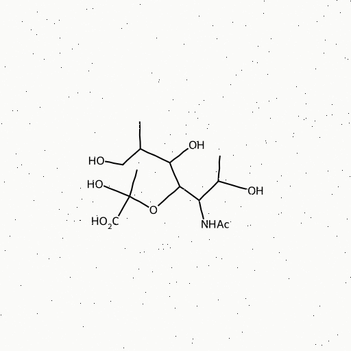 CC(=O)NC(C(C)O)C(OC(C)(O)C(=O)O)C(O)C(C)CO